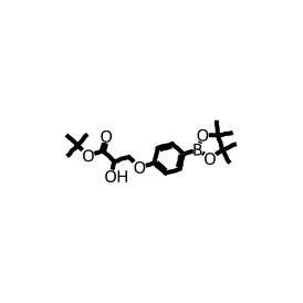 CC(C)(C)OC(=O)C(O)COc1ccc(B2OC(C)(C)C(C)(C)O2)cc1